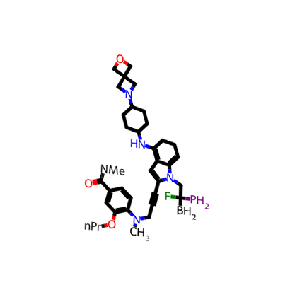 BC(F)(P)Cn1c(C#CCN(C)c2ccc(C(=O)NC)cc2OCCC)cc2c1=CCCC=2NC1CCC(N2CC3(COC3)C2)CC1